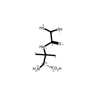 CC(C)(NC(=O)C(S)S)[C@@H](N)C(=O)O